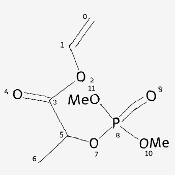 C=COC(=O)C(C)OP(=O)(OC)OC